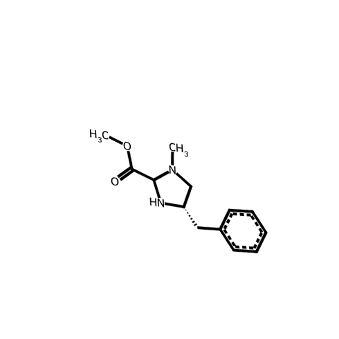 COC(=O)C1N[C@@H](Cc2ccccc2)CN1C